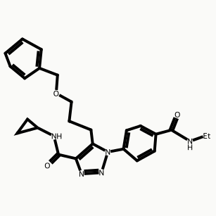 CCNC(=O)c1ccc(-n2nnc(C(=O)NC3CC3)c2CCCOCc2ccccc2)cc1